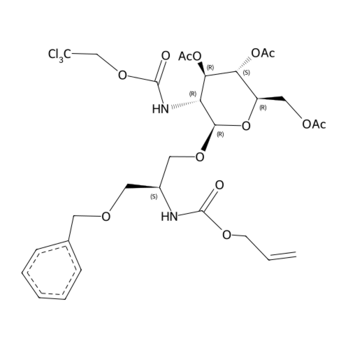 C=CCOC(=O)N[C@@H](COCc1ccccc1)CO[C@@H]1O[C@H](COC(C)=O)[C@@H](OC(C)=O)[C@H](OC(C)=O)[C@H]1NC(=O)OCC(Cl)(Cl)Cl